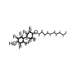 CCCCCCCCCCOc1c(F)c(F)c(-c2c(F)c(F)c(O)c(F)c2F)c(F)c1F